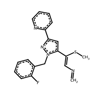 C=N/C=C(\SC)c1cc(-c2ccccn2)nn1Cc1ccccc1F